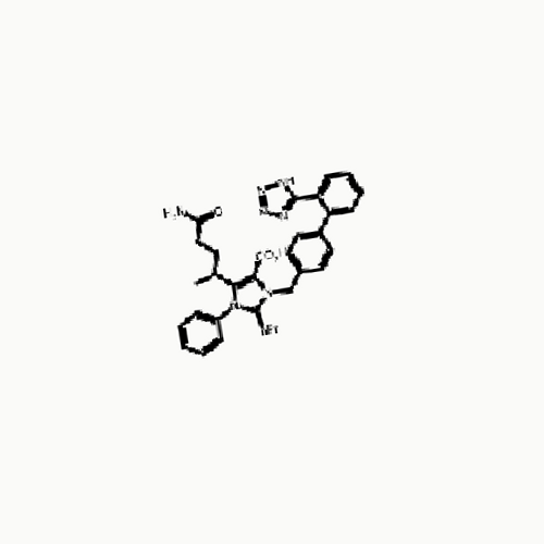 CCCC1N(Cc2ccc(-c3ccccc3-c3nnn[nH]3)cc2)C(C(=O)O)=C(C(C)CCC(N)=O)N1c1ccccc1